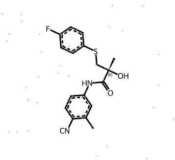 [C-]#[N+]c1ccc(NC(=O)[C@@](C)(O)CSc2ccc(F)cc2)cc1C